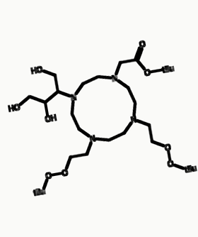 CC(C)(C)OOCCN1CCN(CCOOC(C)(C)C)CCN(C(CO)C(O)CO)CCN(CC(=O)OC(C)(C)C)CC1